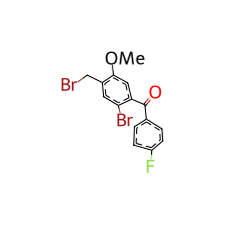 COc1cc(C(=O)c2ccc(F)cc2)c(Br)cc1CBr